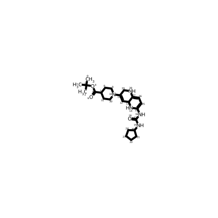 CC(C)(C)OC(=O)C1CCN(C2=CC3NC(NC(=O)NC4CCCC4)=CC=C3NC2)CC1